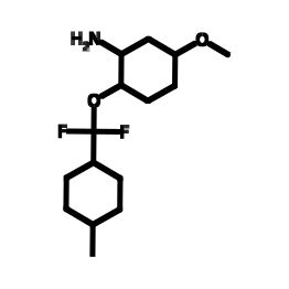 COC1CCC(OC(F)(F)C2CCC(C)CC2)C(N)C1